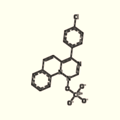 [O-][Cl+3]([O-])([O-])ON1C=NC(c2ccc(Cl)cc2)=C2C=Cc3ccccc3N21